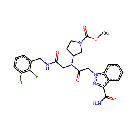 CC(C)(C)OC(=O)N1CC[C@H](N(CC(=O)NCc2cccc(Cl)c2F)C(=O)Cn2nc(C(N)=O)c3ccccc32)C1